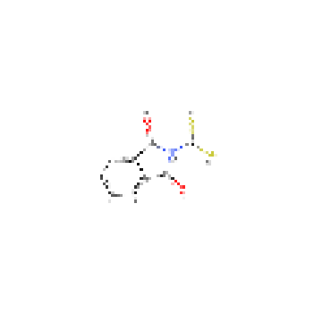 O=C1c2ccccc2C(=O)N1C(=S)S